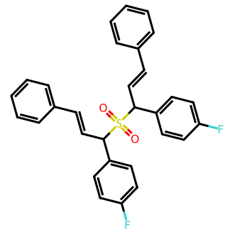 O=S(=O)(C(C=Cc1ccccc1)c1ccc(F)cc1)C(C=Cc1ccccc1)c1ccc(F)cc1